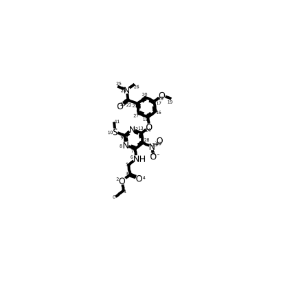 CCOC(=O)CNc1nc(SC)nc(Oc2cc(OC)cc(C(=O)N(C)C)c2)c1[N+](=O)[O-]